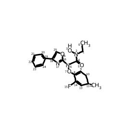 CCN(O)C(=O)N(OC1=CC[C@@H](C)C=C1F)c1nc(-c2ccccc2)co1